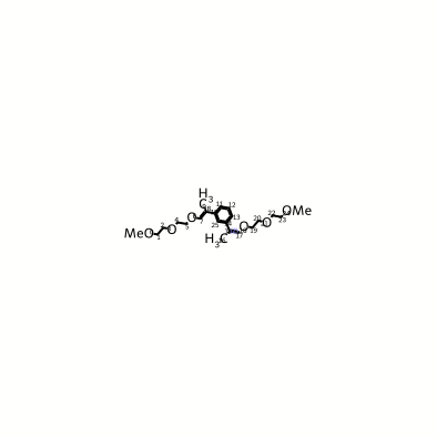 COCCOCCOC=C(C)c1cccc(/C(C)=C\OCCOCCOC)c1